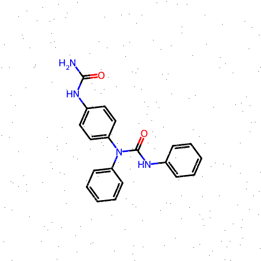 NC(=O)Nc1ccc(N(C(=O)Nc2ccccc2)c2ccccc2)cc1